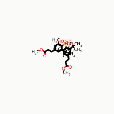 COC(=O)CCc1cc(C)c(P(O)(O)(O)c2c(C)cc(CCC(=O)OC)cc2C(C)(C)C)c(C(C)(C)C)c1